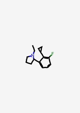 CCN1CCCC1c1cccc(F)c1C1CC1